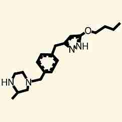 CCCCOc1cc(Cc2ccc(CN3CCNC(C)C3)cc2)n[nH]1